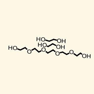 OCCO.OCCO.OCCOCCOCCOCCOCCO